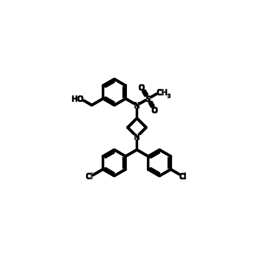 CS(=O)(=O)N(c1cccc(CO)c1)C1CN(C(c2ccc(Cl)cc2)c2ccc(Cl)cc2)C1